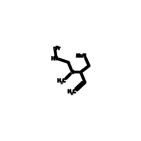 C=CC(CNC)N(C)CNCCC